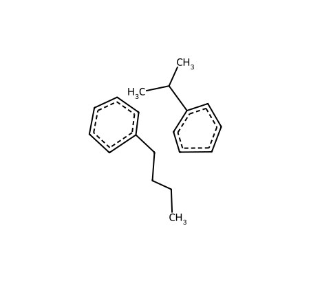 CC(C)c1ccccc1.CCCCc1ccccc1